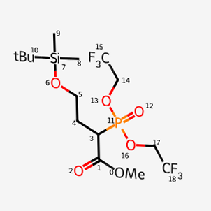 COC(=O)C(CCO[Si](C)(C)C(C)(C)C)P(=O)(OCC(F)(F)F)OCC(F)(F)F